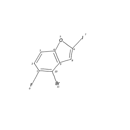 Fc1ccc2oc(I)cc2c1Br